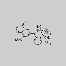 CSc1cc(C2=NC(C)(C)C(C)(C)c3c(C)cccc32)cc2c(=O)ccoc12